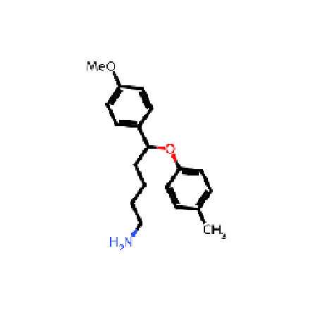 COc1ccc(C(CCCCN)Oc2ccc(C)cc2)cc1